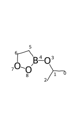 CC(C)OB1CCOO1